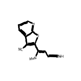 CN/C(=C\C=N)c1sc2ncccc2c1C#N